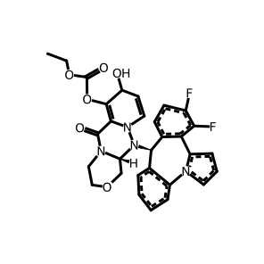 CCOC(=O)OC1=C2C(=O)N3CCOC[C@H]3N([C@@H]3c4ccccc4-n4cccc4-c4c3ccc(F)c4F)N2C=CC1O